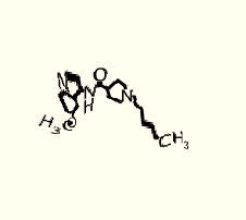 CCCCCCCN1CCC(C(=O)Nc2ccnc3ccc(OC)cc23)CC1